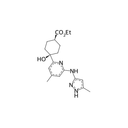 CCOC(=O)[C@H]1CC[C@](O)(c2cc(C)cc(Nc3cc(C)[nH]n3)n2)CC1